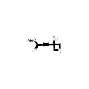 COC(=O)C#CC1(O)COC1